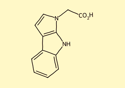 O=C(O)Cn1ccc2c3ccccc3[nH]c21